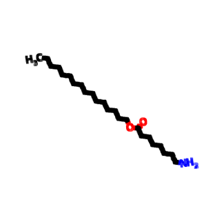 CCCCCCCCCCCCCCCCOC(=O)CCCCCCCN